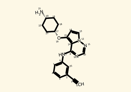 C#Cc1cccc(Nc2ncnn3ccc(O[C@H]4CC[C@@H](N)CC4)c23)c1